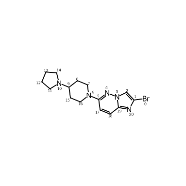 Brc1cn2nc(N3CCC(N4CCCC4)CC3)ccc2n1